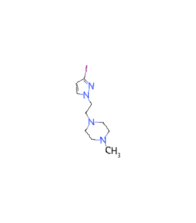 CN1CCN(CCn2ccc(I)n2)CC1